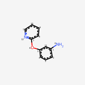 Nc1cccc(Oc2ccccn2)c1